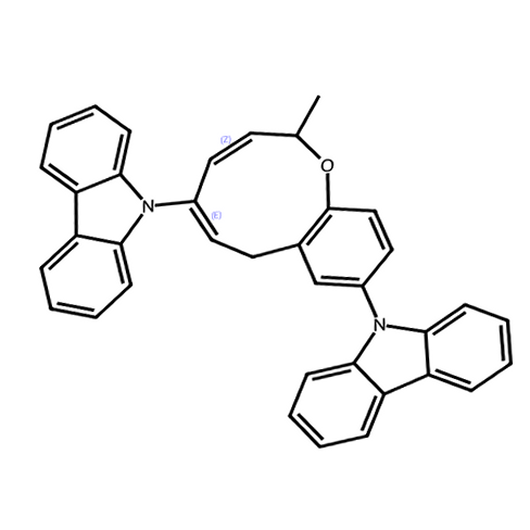 CC1/C=C\C(n2c3ccccc3c3ccccc32)=C/Cc2cc(-n3c4ccccc4c4ccccc43)ccc2O1